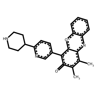 Cc1c2nc3ccccc3oc-2c(-c2ccc(C3CCNCC3)nc2)c(=O)c1C